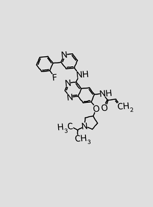 C=CC(=O)Nc1cc2c(Nc3ccnc(-c4ccccc4F)c3)ncnc2cc1OC1CCN(C(C)C)C1